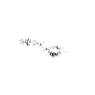 CC12CNCCNCC(NC(=O)CCCC(=O)NCc3ccc(-c4nnc(-c5ccccn5)nn4)cc3)(CNCCNC1)CNCCNC2